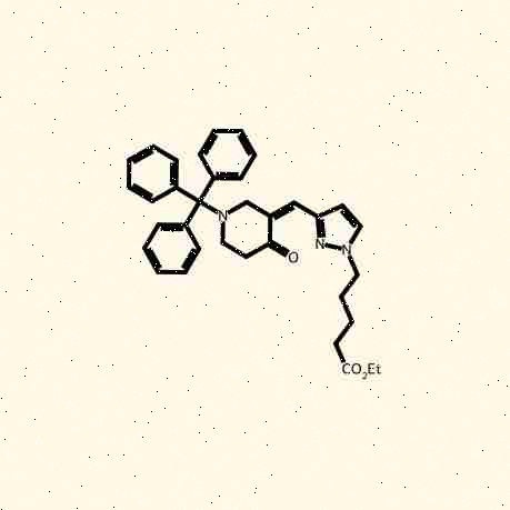 CCOC(=O)CCCCn1ccc(C=C2CN(C(c3ccccc3)(c3ccccc3)c3ccccc3)CCC2=O)n1